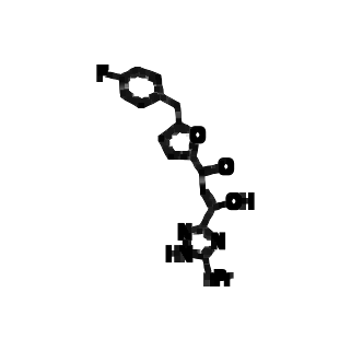 CCCc1nc(C(O)=CC(=O)c2ccc(Cc3ccc(F)cc3)o2)n[nH]1